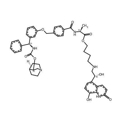 C[C@H](NC(=O)c1ccc(COc2cccc([C@@H](NC(=O)O[C@H]3CN4CCC3CC4)c3ccccc3)c2)cc1)C(=O)OCCCCNC[C@H](O)c1ccc(O)c2[nH]c(=O)ccc12